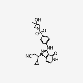 CC1(O)CN(S(=O)(=O)c2ccc(Nc3nn(C(CC#N)C4CC4)c4cc[nH]c(=O)c34)cc2)C1